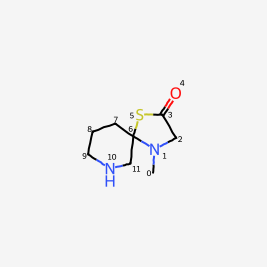 CN1CC(=O)SC12CCCNC2